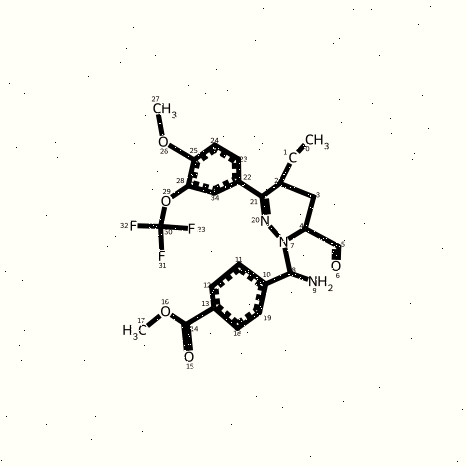 CCC1CC(C=O)N(C(N)c2ccc(C(=O)OC)cc2)N=C1c1ccc(OC)c(OC(F)(F)F)c1